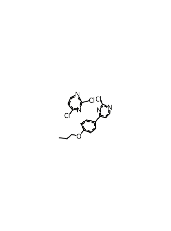 CCCOc1ccc(-c2ccnc(Cl)n2)cc1.Clc1ccnc(Cl)n1